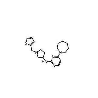 c1csc(CN2CCC(Nc3nccc(N4CCCCCC4)n3)C2)c1